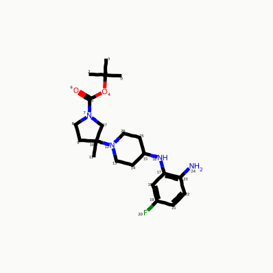 CC(C)(C)OC(=O)N1CCC(C)(N2CCC(Nc3cc(F)ccc3N)CC2)C1